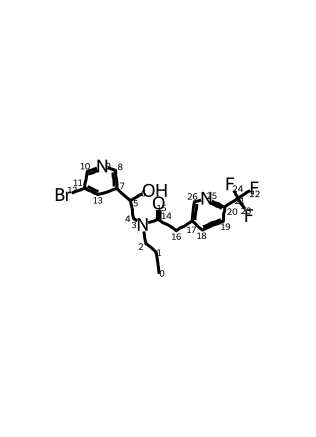 CCCN(CC(O)c1cncc(Br)c1)C(=O)Cc1ccc(C(F)(F)F)nc1